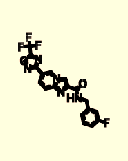 O=C(NCc1cccc(F)c1)c1cn2cc(-c3noc(C(F)(F)F)n3)ccc2n1